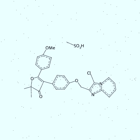 COc1ccc(C2=C(c3ccc(OCc4nc5ccccn5c4Cl)cc3)C(=O)C(C)(C)O2)cc1.CS(=O)(=O)O